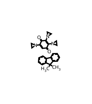 CC1(C)c2ccccc2-c2ccccc21.O=C1C=C(N2CC2)C(=O)C(N2CC2)=C1N1CC1